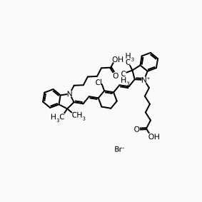 CC1(C)C(=CC=C2CCCC(C=CC3=[N+](CCCCCC(=O)O)c4ccccc4C3(C)C)=C2Cl)N(CCCCCC(=O)O)c2ccccc21.[Br-]